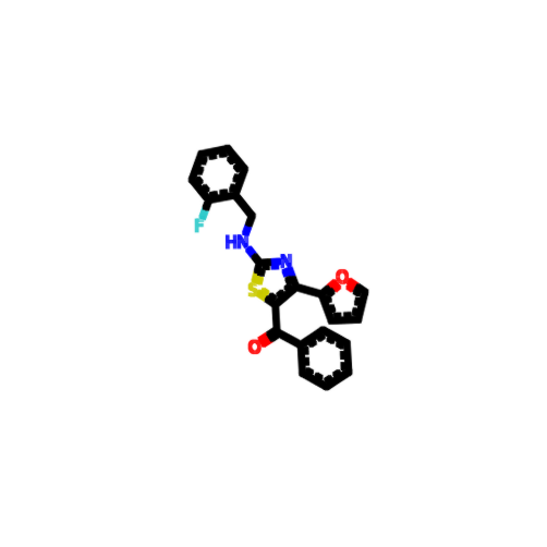 O=C(c1ccccc1)c1sc(NCc2ccccc2F)nc1-c1ccco1